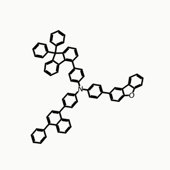 c1ccc(-c2ccc(-c3ccc(N(c4ccc(-c5ccc6oc7ccccc7c6c5)cc4)c4ccc(-c5cccc6c5-c5ccccc5C6(c5ccccc5)c5ccccc5)cc4)cc3)c3ccccc23)cc1